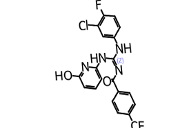 O=C(/N=C(/Nc1ccc(F)c(Cl)c1)Nc1cccc(O)n1)c1ccc(C(F)(F)F)cc1